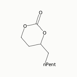 CCCCCCC1CCOC(=O)O1